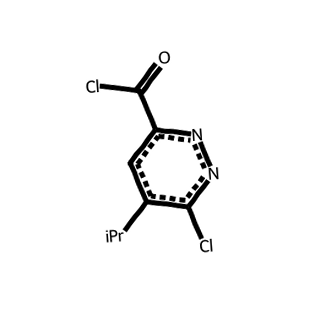 CC(C)c1cc(C(=O)Cl)nnc1Cl